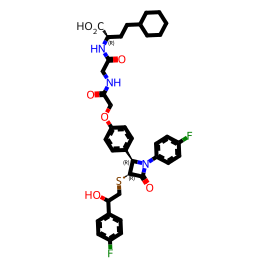 O=C(COc1ccc([C@@H]2[C@@H](SCC(O)c3ccc(F)cc3)C(=O)N2c2ccc(F)cc2)cc1)NCC(=O)N[C@H](CCC1CCCCC1)C(=O)O